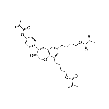 C=C(C)C(=O)OCCCCc1cc2c(c(CCCCOC(=O)C(=C)C)c1)OCC(=O)C(c1ccc(OC(=O)C(=C)C)cc1)=C2